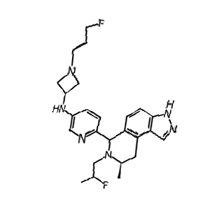 CC(F)CN1C(c2ccc(NC3CN(CCCF)C3)cn2)c2ccc3[nH]ncc3c2C[C@H]1C